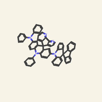 c1ccc(N(c2ccccc2)c2ccc3c(c2)C2(c4cc(N5c6ccccc6C6(c7ccccc7-c7ccccc76)c6ccccc65)ccc4N3c3ccccc3)c3cccnc3-c3ncccc32)cc1